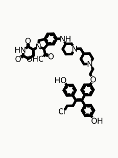 O=CC(=O)C1c2cc(NC3CCCN(CC4CCN(CCOc5ccc(C(=C(CCCl)c6ccc(O)cc6)c6ccc(O)cc6)cc5)CC4)C3)ccc2CN1C1CCC(=O)NC1=O